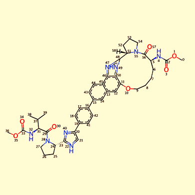 COC(=O)N[C@H]1CCCCOc2cc3cc(-c4ccc(-c5c[nH]c([C@@H]6CCCN6C(=O)[C@@H](NC(=O)OC)C(C)C)n5)cc4)ccc3c3nc([nH]c23)[C@@H]2CCCN2C1=O